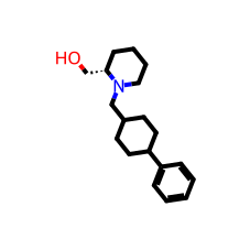 OC[C@@H]1CCCCN1CC1CCC(c2ccccc2)CC1